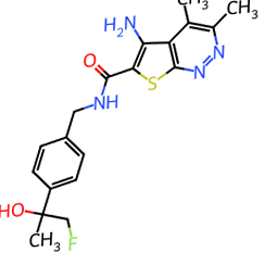 Cc1nnc2sc(C(=O)NCc3ccc(C(C)(O)CF)cc3)c(N)c2c1C